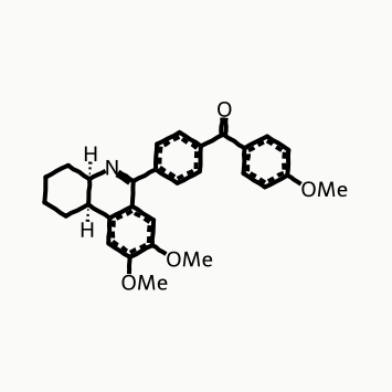 COc1ccc(C(=O)c2ccc(C3=N[C@@H]4CCCC[C@@H]4c4cc(OC)c(OC)cc43)cc2)cc1